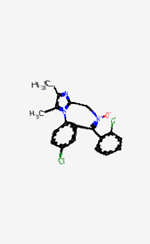 Cc1nc2n(c1C)-c1ccc(Cl)cc1C(c1ccccc1Cl)=[N+]([O-])C2